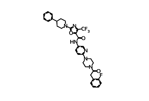 O=C(Nc1ccc(N2CCN(C(=O)Cc3ccccc3F)CC2)nc1)c1oc(N2CCC(c3ccccc3)CC2)nc1C(F)(F)F